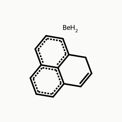 C1=Cc2cccc3cccc(c23)C1.[BeH2]